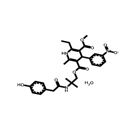 CCC1=C(C(=O)OC)C(c2cccc([N+](=O)[O-])c2)C(C(=O)OCC(C)(C)NC(=O)Cc2ccc(O)cc2)=C(C)N1.O